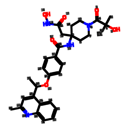 CCC(C)(O)C(=O)N1CCC(CC(=O)NO)(NC(=O)c2ccc(OC(C)c3cc(C)nc4ccccc34)cc2)CC1